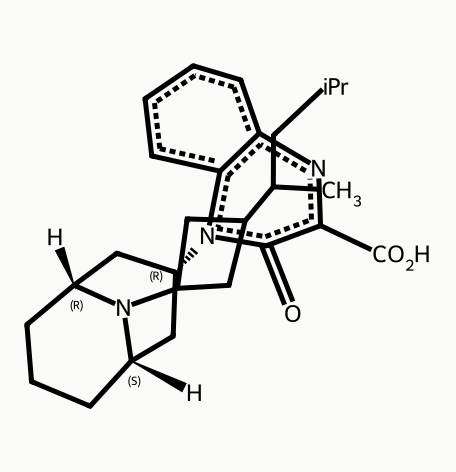 CC(C)CC(C)C1CC(N2[C@@H]3CCC[C@H]2C[C@@H](n2c(=O)c(C(=O)O)nc4ccccc42)C3)C1